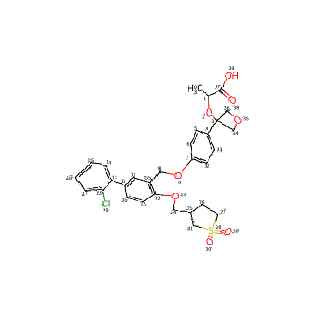 CC(OC1(c2ccc(OCc3cc(-c4ccccc4Cl)ccc3OCC3CCS(=O)(=O)C3)cc2)COC1)C(=O)O